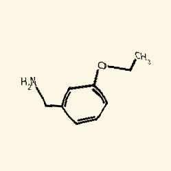 CCOc1cccc(CN)c1